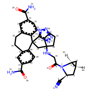 N#C[C@@H]1C[C@@H]2C[C@@H]2N1C(=O)CNC1(CC2(c3nnn[nH]3)c3ccc(C(N)=O)cc3CCc3cc(C(N)=O)ccc32)CCCC1